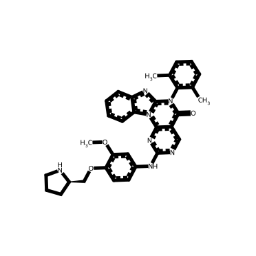 COc1cc(Nc2ncc3c(=O)n(-c4c(C)cccc4C)c4nc5ccccc5n4c3n2)ccc1OC[C@H]1CCCN1